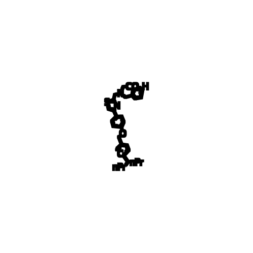 CCCC(CCC)c1ccc(COc2ccc(-c3csc(CN(CC(=O)O)Cc4ccccc4)n3)cc2)cc1